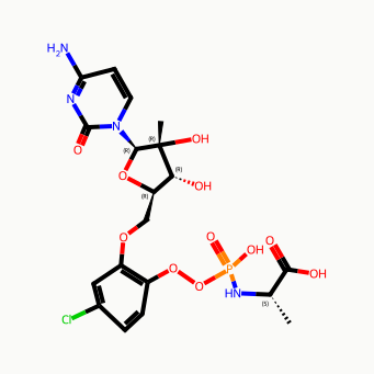 C[C@H](NP(=O)(O)OOc1ccc(Cl)cc1OC[C@H]1O[C@@H](n2ccc(N)nc2=O)[C@](C)(O)[C@@H]1O)C(=O)O